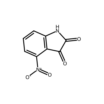 O=C1Nc2cccc([N+](=O)[O-])c2C1=O